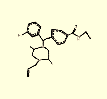 C=CCN1CC(C)N(C(c2ccc(C(=O)NCC)cc2)c2cccc(O)c2)CC1C